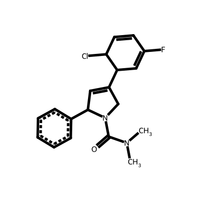 CN(C)C(=O)N1CC(C2C=C(F)C=CC2Cl)=CC1c1ccccc1